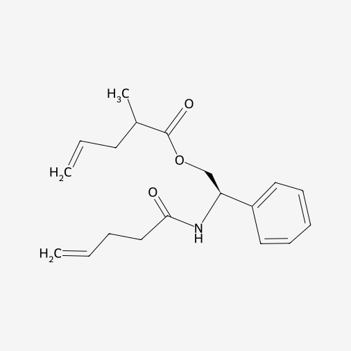 C=CCCC(=O)N[C@@H](COC(=O)C(C)CC=C)c1ccccc1